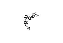 CO[C@@H]1CN(c2cccc(-c3cccc(C)c3OCc3ccc4c(c3C)CCN([C@H]3CCOC3)CC4)n2)CC[C@@H]1C(=O)O